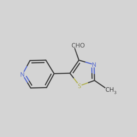 Cc1nc(C=O)c(-c2ccncc2)s1